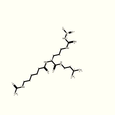 CC(=O)NCCCCCC(=O)N[C@@H](CCCNC(=N)N[N+](=O)[O-])C(=O)N[CH]CC(C)C